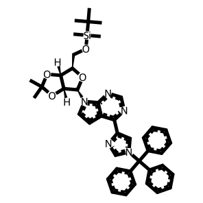 CC1(C)O[C@@H]2[C@H](O1)[C@@H](CO[Si](C)(C)C(C)(C)C)O[C@H]2n1ccc2c(-c3cn(C(c4ccccc4)(c4ccccc4)c4ccccc4)cn3)ncnc21